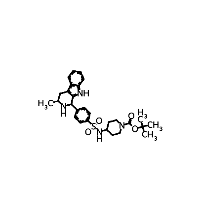 C[C@H]1Cc2c([nH]c3ccccc23)C(c2ccc(S(=O)(=O)NC3CCN(C(=O)OC(C)(C)C)CC3)cc2)N1